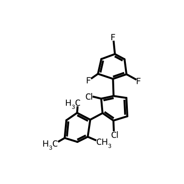 Cc1cc(C)c(-c2c(Cl)ccc(-c3c(F)cc(F)cc3F)c2Cl)c(C)c1